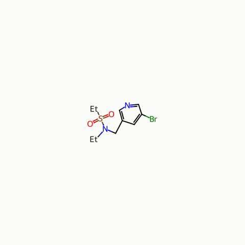 CCN(Cc1cncc(Br)c1)S(=O)(=O)CC